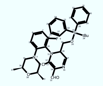 C[C@@H]1CN(c2cccc(F)c2N2C(Cl)=C(C=O)N=CC2CO[Si](c2ccccc2)(c2ccccc2)C(C)(C)C)C[C@H](C)O1